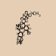 CCOC(=O)C(F)(F)C(=O)CC(=O)c1ccc(Br)cc1-n1nncc1-c1ccc(OC(F)(F)F)cc1